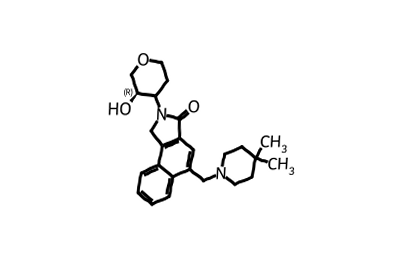 CC1(C)CCN(Cc2cc3c(c4ccccc24)CN(C2CCOC[C@@H]2O)C3=O)CC1